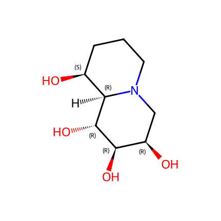 O[C@H]1[C@H](O)[C@H](O)CN2CCC[C@H](O)[C@H]12